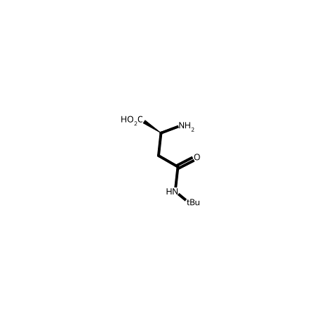 CC(C)(C)NC(=O)C[C@H](N)C(=O)O